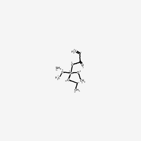 C=CC(=O)O[Si](OC)(OC)OCC.[SiH4]